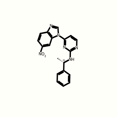 C[C@H](Nc1nccc(-n2cnc3ccc([N+](=O)[O-])cc32)n1)c1ccccc1